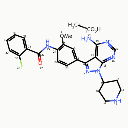 CC(=O)O.COc1cc(-c2nn(C3CCNCC3)c3ncnc(N)c23)ccc1NC(=O)c1ccccc1F